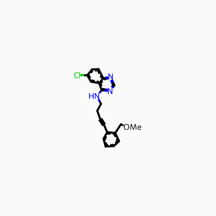 COCc1ccccc1C#CCCNc1ncnc2ccc(Cl)cc12